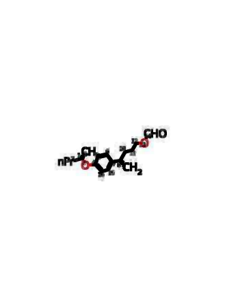 C=C(CCC)Oc1ccc(C(=C)CCCOC=O)cc1